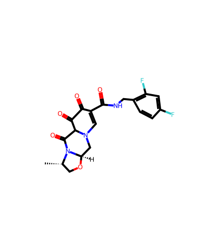 C[C@H]1CO[C@@H]2CN3C=C(C(=O)NCc4ccc(F)cc4F)C(=O)C(=O)C3C(=O)N12